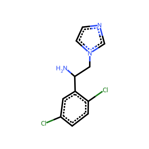 NC(Cn1ccnc1)c1cc(Cl)ccc1Cl